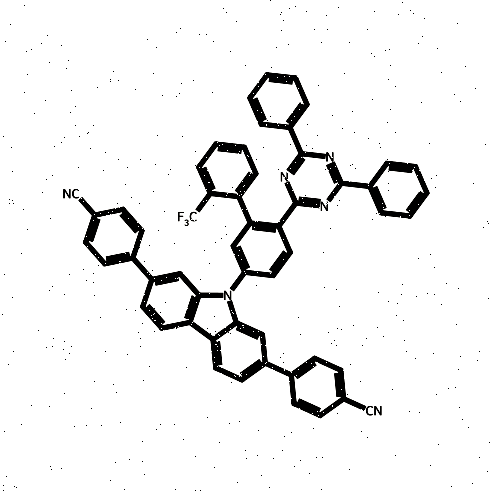 N#Cc1ccc(-c2ccc3c4ccc(-c5ccc(C#N)cc5)cc4n(-c4ccc(-c5nc(-c6ccccc6)nc(-c6ccccc6)n5)c(-c5ccccc5C(F)(F)F)c4)c3c2)cc1